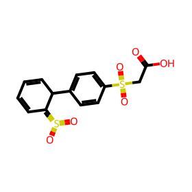 O=C(O)CS(=O)(=O)c1ccc(C2C=CC=CC2=S(=O)=O)cc1